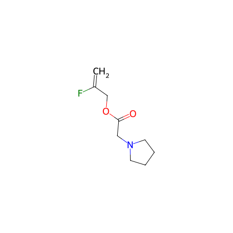 C=C(F)COC(=O)CN1CCCC1